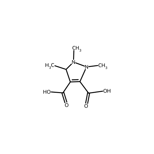 CC1C(C(=O)O)=C(C(=O)O)N(C)N1C